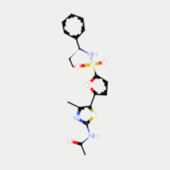 CC[C@H](NS(=O)(=O)c1ccc(-c2sc(NC(C)=O)nc2C)o1)c1ccccc1